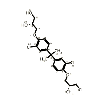 C[C@@H](CCl)COc1ccc(C(C)(C)c2ccc(OC[C@H](O)CO)c(Cl)c2)cc1Cl